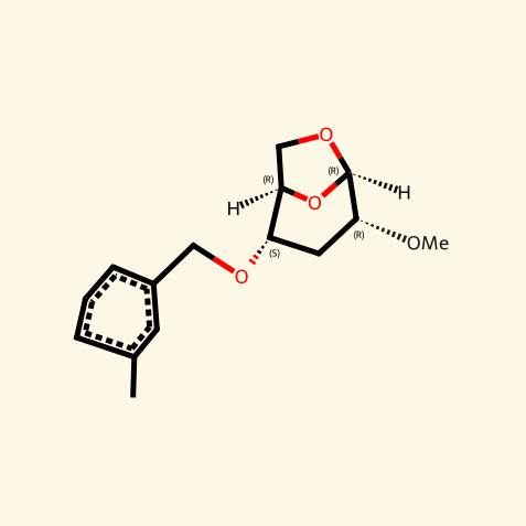 CO[C@@H]1C[C@H](OCc2cccc(C)c2)[C@H]2CO[C@@H]1O2